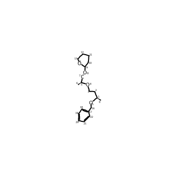 C[C@H](CCO[C@@H](C)COC1CCCCO1)OCc1ccccc1